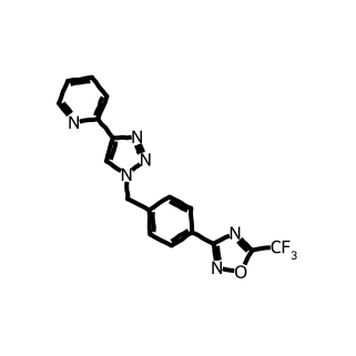 FC(F)(F)c1nc(-c2ccc(Cn3cc(-c4ccccn4)nn3)cc2)no1